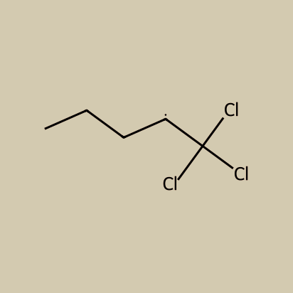 CCC[CH]C(Cl)(Cl)Cl